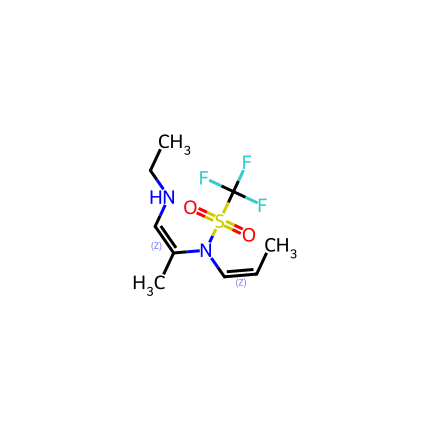 C/C=C\N(/C(C)=C\NCC)S(=O)(=O)C(F)(F)F